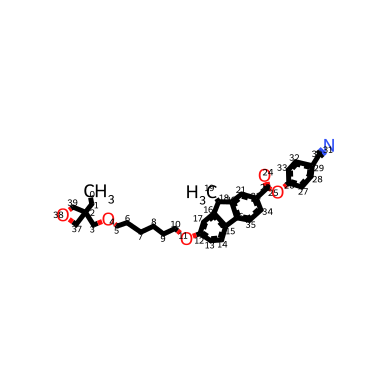 CCC1(COCCCCCCOc2ccc3c(c2)C(C)c2cc(C(=O)Oc4ccc(C#N)cc4)ccc2-3)COC1